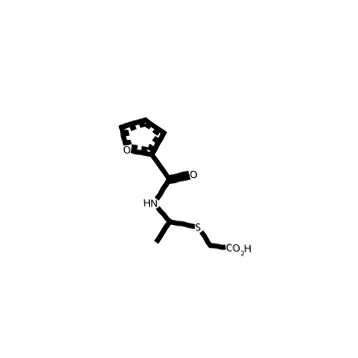 CC(NC(=O)c1ccco1)SCC(=O)O